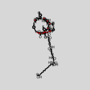 COc1ccc(C[C@@H]2NC(=O)[C@H]([C@@H](C)O)NC(=O)[C@@H]3[C@@H]4CCCN3C(=O)[C@@H]3Cc5cn(c6ccc(F)cc56)CCCCCCN(Cc5ccc(cc5)CCNC(=O)[C@]5(C)CCCN5C2=O)C(=O)CCC(=O)N[C@@H](C)C(=O)N[C@H](CNC(=O)COCCOCCNC(=O)COCCOCCNC(=O)CC[C@H](NC(=O)CCCCCCCCCCCCCCC(=O)O)C(=O)O)C(=O)N[C@@H](Cc2cccc(c2)CNC(=O)CO4)C(=O)N3)cc1